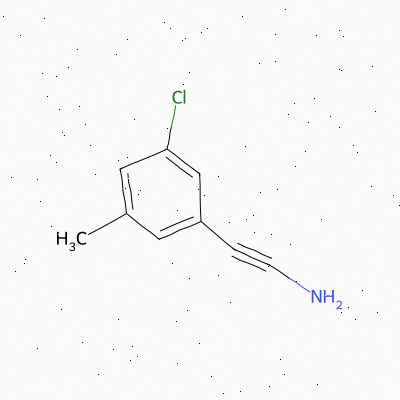 Cc1cc(Cl)cc(C#CN)c1